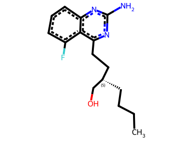 CCCC[C@H](CO)CCc1nc(N)nc2cccc(F)c12